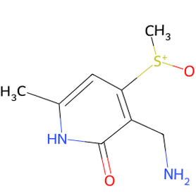 Cc1cc([S+](C)[O-])c(CN)c(=O)[nH]1